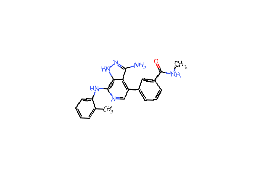 CNC(=O)c1cccc(-c2cnc(Nc3ccccc3C)c3[nH]nc(N)c23)c1